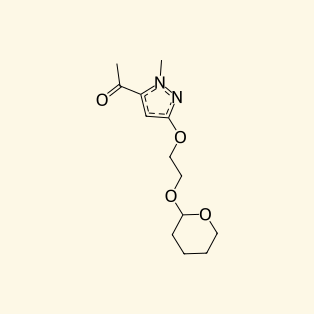 CC(=O)c1cc(OCCOC2CCCCO2)nn1C